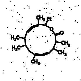 CCC1OC(=O)C(C)C(C)C=C=C(C)CC(C)C(C)C=C=C1C